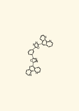 c1cc(-c2nnc(-c3cc4cccnc4c4ncccc34)o2)cc(-c2nnc(-c3cc4cccnc4c4ncccc34)o2)c1